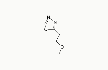 [CH2]OCCc1nnco1